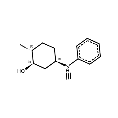 C#[SH](c1ccccc1)[C@@H]1CC[C@@H](C)[C@H](O)C1